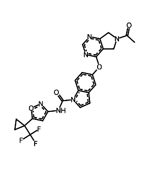 CC(=O)N1Cc2ncnc(Oc3ccc4c(ccn4C(=O)Nc4cc(C5(C(F)(F)F)CC5)on4)c3)c2C1